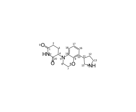 O=C1CCC(N2CCOc3c(C4CCNC4)cccc32)C(=O)N1